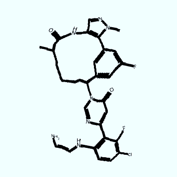 CC1CCCC(n2cnc(-c3c(N/C=C\N)ccc(Cl)c3F)cc2=O)c2cc(F)cc(c2)-c2c(cnn2C)NC1=O